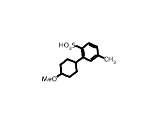 COC1CCC(c2cc(C)ccc2S(=O)(=O)O)CC1